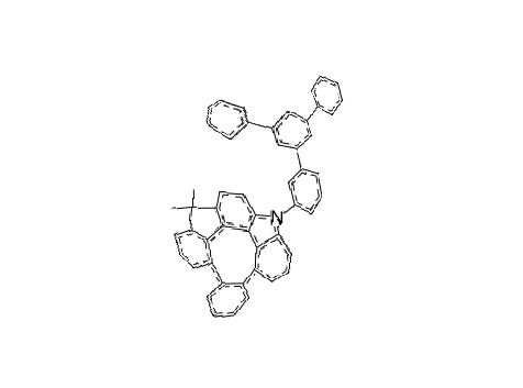 CC1(C)c2cccc3c4ccccc4c4cccc5c4c4c(c1ccc4n5-c1cccc(-c4cc(-c5ccccc5)cc(-c5ccccc5)c4)c1)c23